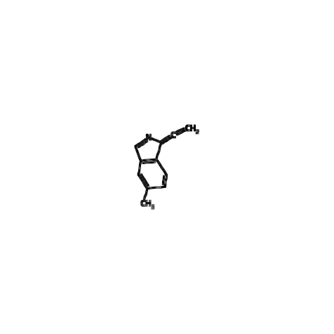 C=C=C1N=Cc2cc(C)ccc21